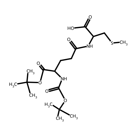 CSCC(NC(=O)CCC(NC(=O)OC(C)(C)C)C(=O)OC(C)(C)C)C(=O)O